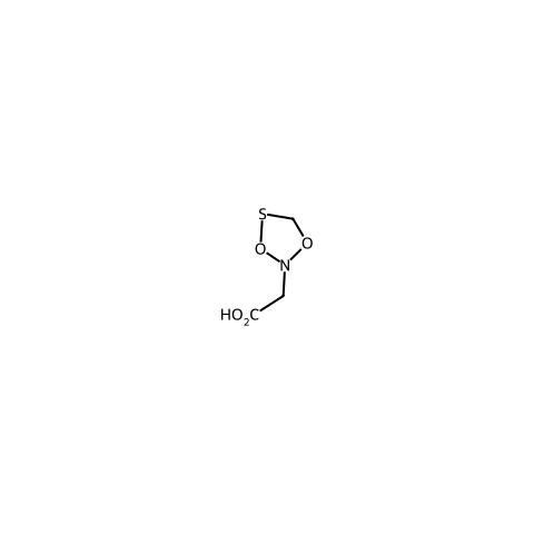 O=C(O)CN1OCSO1